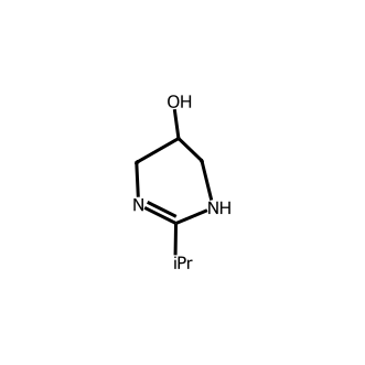 CC(C)C1=NCC(O)CN1